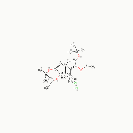 CCOC1=[C]([Zr]([CH3])([CH3])(=[SiH2])[C]2=C(OCC)C(O[Si](C)(C)C)=CC2)CC=C1O[Si](C)(C)C.Cl.Cl